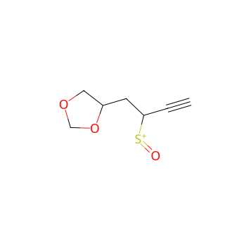 C#CC(CC1COCO1)[S+]=O